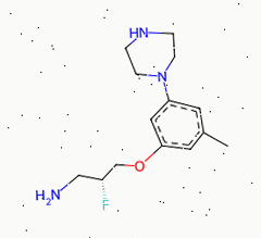 Cc1cc(OC[C@H](F)CN)cc(N2CCNCC2)c1